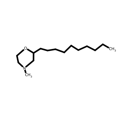 CCCCCCCCCCC1CN(C)CCO1